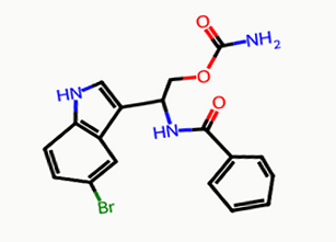 NC(=O)OCC(NC(=O)c1ccccc1)c1c[nH]c2ccc(Br)cc12